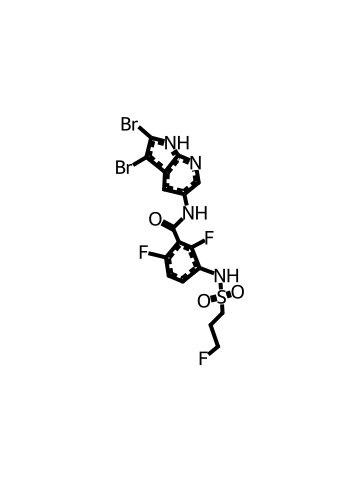 O=C(Nc1cnc2[nH]c(Br)c(Br)c2c1)c1c(F)ccc(NS(=O)(=O)CCCF)c1F